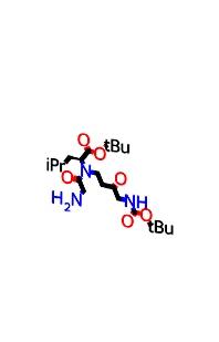 CC(C)C[C@@H](C(=O)OC(C)(C)C)N(CCC(=O)CNC(=O)OC(C)(C)C)C(=O)CN